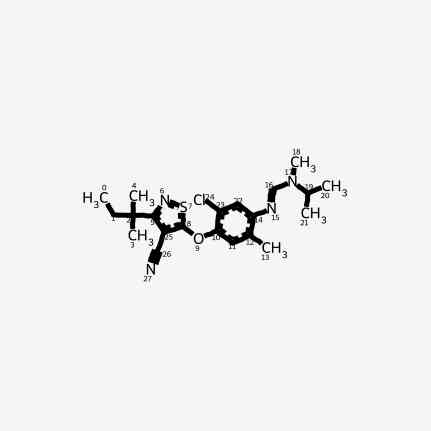 CCC(C)(C)c1nsc(Oc2cc(C)c(N=CN(C)C(C)C)cc2Cl)c1C#N